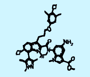 COC(=O)c1cn(C)c2c(N3C[C@@H](C)n4c(c(CCCOc5cc(C)c(Cl)c(C)c5)c5ccc(Cl)c(-c6c(C)nn(C)c6C)c54)C3=O)cc(N)cc12